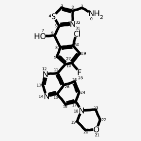 NCc1csc(C(O)c2cc(-c3ncnc4cc(N5CCOCC5)ccc34)c(F)cc2Cl)n1